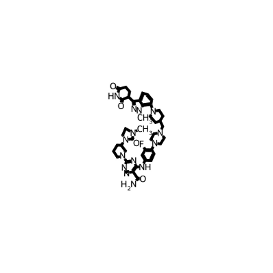 CN1CCN(C2CCCN(c3nnc(C(N)=O)c(Nc4ccc(N5CCN(CC6CCN(c7cccc8c(C9CCC(=O)NC9=O)nn(C)c78)CC6)CC5)c(F)c4)n3)C2)C1=O